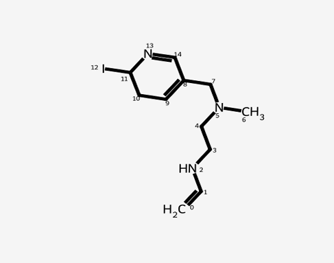 C=CNCCN(C)CC1=CCC(I)N=C1